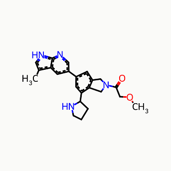 COCC(=O)N1Cc2cc(-c3cnc4[nH]cc(C)c4c3)cc(C3CCCN3)c2C1